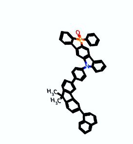 CC1(C)c2ccc(-c3ccc(-n4c5ccccc5c5cc6c(cc54)-c4ccccc4P6(=O)c4ccccc4)cc3)cc2-c2cc(-c3cccc4ccccc34)ccc21